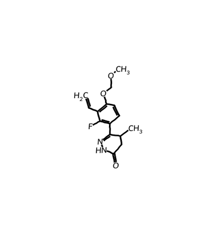 C=Cc1c(OCOC)ccc(C2=NNC(=O)CC2C)c1F